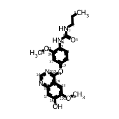 CCCNC(=O)Nc1ccc(Oc2ncnc3cc(O)c(OC)cc23)cc1OC